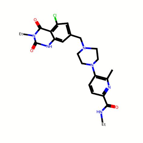 CCNC(=O)c1ccc(N2CCN(Cc3cc(Cl)c4c(=O)n(CC)c(=O)[nH]c4c3)CC2)c(C)n1